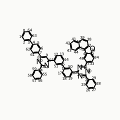 c1ccc(-c2ccc(-c3cc(-c4cccc(-c5cccc(-c6nc(-c7ccccc7)nc(-c7ccc8oc9ccc%10ccccc%10c9c8c7)n6)c5)c4)nc(-c4ccccc4)n3)cc2)cc1